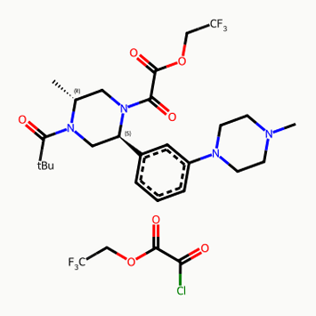 C[C@@H]1CN(C(=O)C(=O)OCC(F)(F)F)[C@@H](c2cccc(N3CCN(C)CC3)c2)CN1C(=O)C(C)(C)C.O=C(Cl)C(=O)OCC(F)(F)F